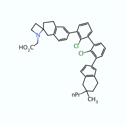 CCCC1(C)CCc2cc(-c3cccc(-c4cccc(-c5ccc6c(c5)CCC5(CCN5CC(=O)O)C6)c4Cl)c3Cl)ccc2C1